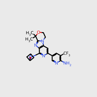 CC1(C)OCCn2c1nc1c(N3CC4CC3C4)nc(-c3cnc(N)c(C(F)(F)F)c3)cc12